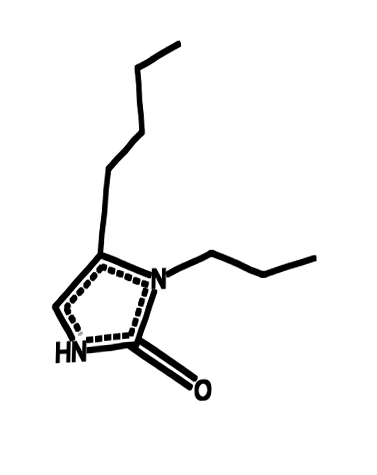 CCCCc1c[nH]c(=O)n1CCC